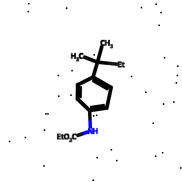 CCOC(=O)Nc1ccc(C(C)(C)CC)cc1